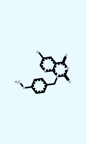 COc1ccc(Cn2c(=O)oc(=O)c3cc(Cl)cnc32)cc1